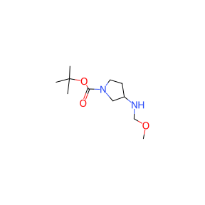 COCNC1CCN(C(=O)OC(C)(C)C)C1